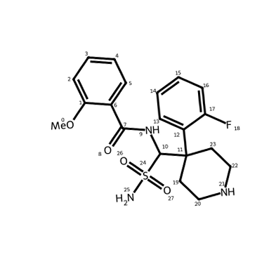 COc1ccccc1C(=O)NC(C1(c2ccccc2F)CCNCC1)S(N)(=O)=O